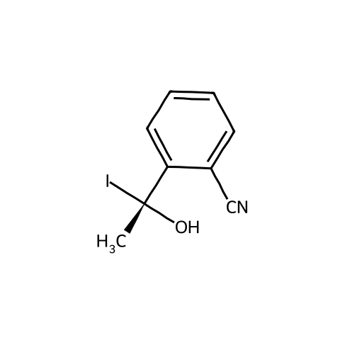 C[C@@](O)(I)c1ccccc1C#N